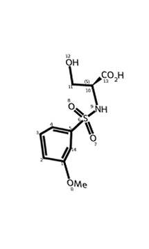 COc1cccc(S(=O)(=O)N[C@@H](CO)C(=O)O)c1